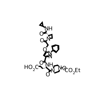 CCOC(=O)ON1CCN(C(=O)[C@H](CCC(=O)O)NC(=O)c2cc(OCC(=O)N3CC[C@H]3C(=O)NC3CC3)n(-c3ccccc3)n2)CC1